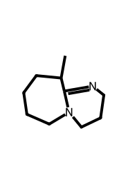 CC1CCCCN2CCCN=C12